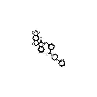 O=C(c1cccc(CN2C(=O)C3(COc4cc5c(cc43)OCO5)c3ccccc32)c1)N1CCN(c2ncccn2)CC1